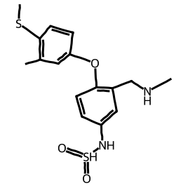 CNCc1cc(N[SH](=O)=O)ccc1Oc1ccc(SC)c(C)c1